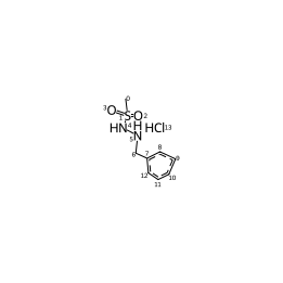 CS(=O)(=O)NNCc1ccccc1.Cl